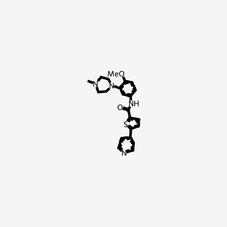 COc1ccc(NC(=O)c2ccc(-c3ccncc3)s2)cc1N1CCN(C)CC1